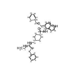 CCNC(=NCc1ccccc1)NC[C@H]1CC[C@H](C(=O)Nc2c(COCC3C=CC=CC3)cnc3[nH]ccc23)CC1